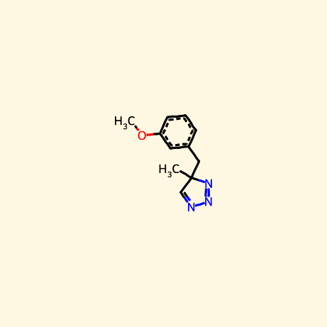 COc1cccc(CC2(C)C=NN=N2)c1